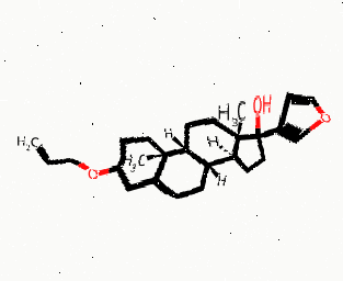 C=CCOC1CC[C@@]2(C)C(CC[C@@H]3[C@H]2CC[C@@]2(C)[C@H]3CCC2(O)c2ccoc2)C1